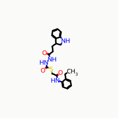 CCc1ccccc1NC(=O)CSC(=O)NNC(=O)CCC1CNc2ccccc21